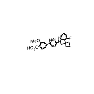 COc1cc(-c2ccc(NCC3(c4ncccc4F)CCC3)nn2)ccc1C(=O)O